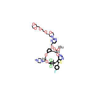 Cc1c(Cl)c2c(Cl)c(C)c1-c1c(-c3ccc(F)cc3)sc3ncnc(c13)O[C@@H](C(=O)OC(C)(C)C)Cc1cc(ccc1OCc1ccnc(N3CCO[C@H](COCCOCC4COCCO4)C3)n1)OC[C@@H](CN1CCN(C)CC1)O2